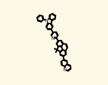 CC1(C)c2cc(-c3ccc4ncccc4c3)cc3ccc4cc(-c5ccc(-c6ccc7c(c6)c6ccccc6n7-c6ccccc6)cn5)cc1c4c23